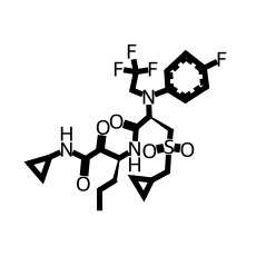 CCC[C@H](NC(=O)[C@H](CS(=O)(=O)CC1CC1)N(CC(F)(F)F)c1ccc(F)cc1)C(=O)C(=O)NC1CC1